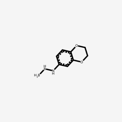 BBNc1ccc2c(c1)OCCO2